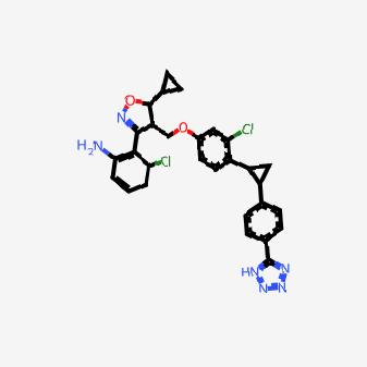 NC1=C(C2=NOC(C3CC3)C2COc2ccc(C3CC3c3ccc(-c4nnn[nH]4)cc3)c(Cl)c2)C(Cl)CC=C1